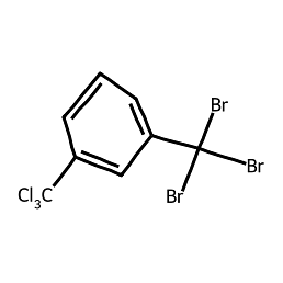 ClC(Cl)(Cl)c1cccc(C(Br)(Br)Br)c1